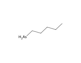 CCCCC[AsH2]